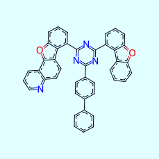 c1ccc(-c2ccc(-c3nc(-c4cccc5oc6ccccc6c45)nc(-c4cccc5oc6c7cccnc7ccc6c45)n3)cc2)cc1